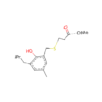 COC(=O)CCSCc1cc(C)cc(CC(C)C)c1O